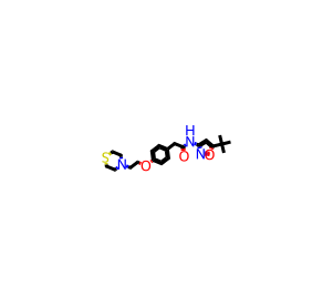 CC(C)(C)c1cc(NC(=O)Cc2ccc(OCCN3CCSCC3)cc2)no1